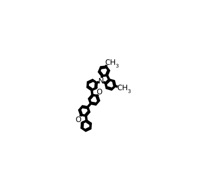 Cc1ccc2c(c1)c1cc(C)ccc1n2-c1cccc2c1oc1ccc(-c3ccc4oc5ccccc5c4c3)cc12